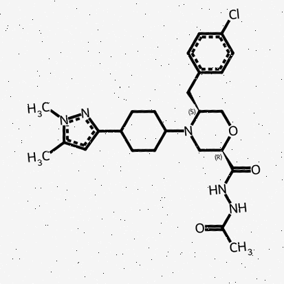 CC(=O)NNC(=O)[C@H]1CN(C2CCC(c3cc(C)n(C)n3)CC2)[C@@H](Cc2ccc(Cl)cc2)CO1